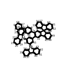 c1ccc(-c2ccc(-c3cc4c(cc3-c3cc(-n5c6ccccc6c6ccccc65)cc(-n5c6ccccc6c6ccccc65)c3)-c3ccccc3C43c4ccccc4-c4ccccc43)cc2)cc1